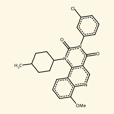 COc1cccc2c1ncc1c(=O)n(-c3cccc(Cl)c3)c(=O)n(C3CCC(C)CC3)c12